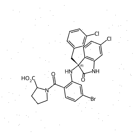 O=C(O)C1CCCN1C(=O)c1ccc(Br)cc1N[C@@]1(Cc2cccc(Cl)c2)C(=O)Nc2cc(Cl)ccc21